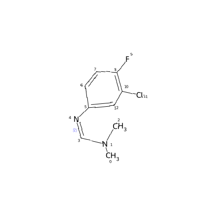 CN(C)/C=N\c1ccc(F)c(Cl)c1